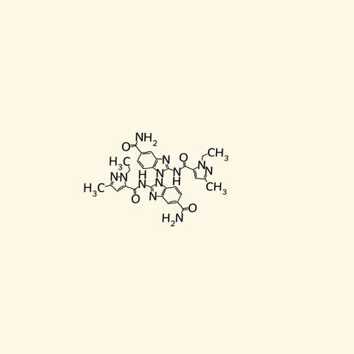 CCn1nc(C)cc1C(=O)Nc1nc2cc(C(N)=O)ccc2n1-n1c(NC(=O)c2cc(C)nn2CC)nc2cc(C(N)=O)ccc21